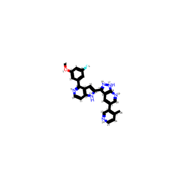 COc1cc(F)cc(-c2nccc3[nH]c(-c4n[nH]c5ncc(-c6cnccc6C)cc45)cc23)c1